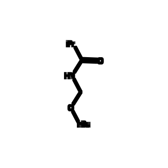 CCCCOCNC(=O)C(C)C